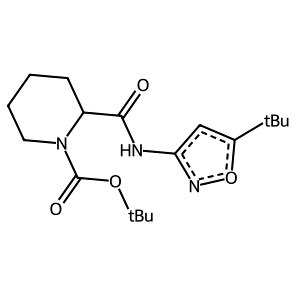 CC(C)(C)OC(=O)N1CCCCC1C(=O)Nc1cc(C(C)(C)C)on1